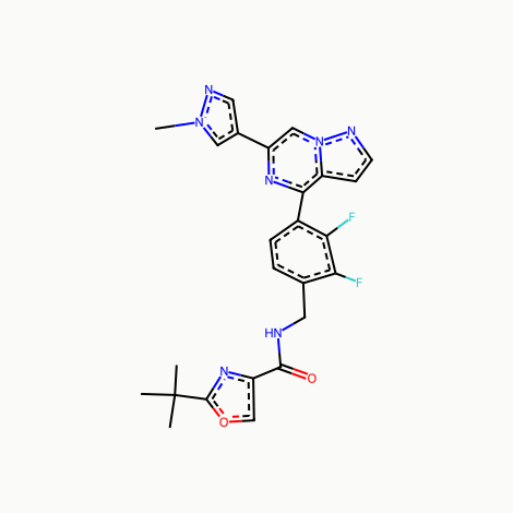 Cn1cc(-c2cn3nccc3c(-c3ccc(CNC(=O)c4coc(C(C)(C)C)n4)c(F)c3F)n2)cn1